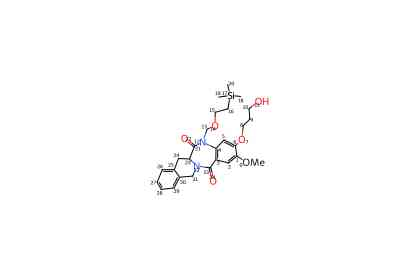 COc1cc2c(cc1OCCCO)N(COCC[Si](C)(C)C)C(=O)C1Cc3ccccc3CN1C2=O